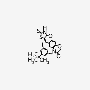 CC(C)(C)c1cc(I)cc(CN2C(=O)COc3ccc(C=C4SC(=S)NC4=O)cc32)c1